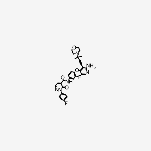 CC(C)(C#Cc1c(Oc2ccc(NC(=O)c3ccnn(-c4ccc(F)cc4)c3=O)cc2F)ccnc1N)N1CCOCC1